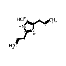 C=CCc1c[nH]c(CC=C)n1.Cl